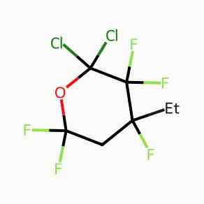 CCC1(F)CC(F)(F)OC(Cl)(Cl)C1(F)F